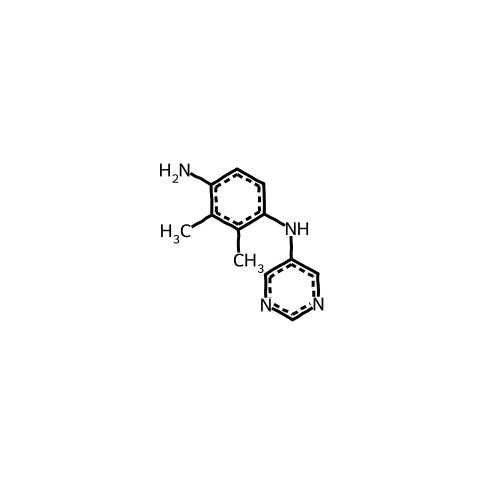 Cc1c(N)ccc(Nc2cncnc2)c1C